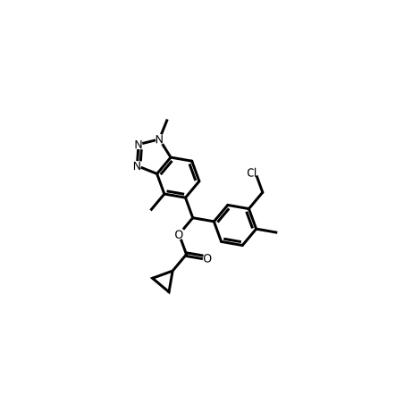 Cc1ccc(C(OC(=O)C2CC2)c2ccc3c(nnn3C)c2C)cc1CCl